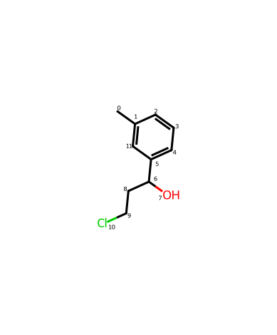 Cc1cccc(C(O)CCCl)c1